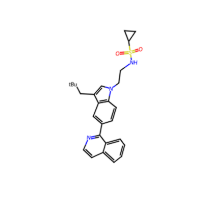 CC(C)(C)Cc1cn(CCNS(=O)(=O)C2CC2)c2ccc(-c3nccc4ccccc34)cc12